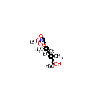 CCC(CC)(c1ccc(CC[C@@H](O)C(C)(C)C)c(C)c1)c1ccc(OCC2CC(=O)N2C(=O)OC(C)(C)C)c(C)c1